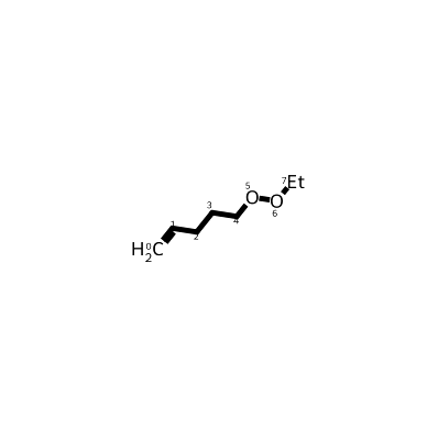 C=CCCCOOCC